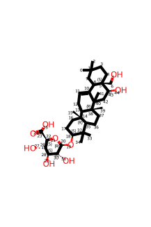 CC1(C)CC[C@@]2(CO)C(C1)C1=CCC3[C@@]4(C)CC[C@H](O[C@@H]5O[C@H](C(=O)O)[C@@H](O)[C@H](O)[C@H]5O)C(C)(C)C4CC[C@@]3(C)C1(C)C[C@@H]2O